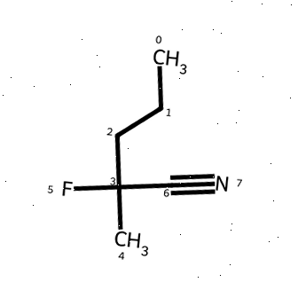 CCCC(C)(F)C#N